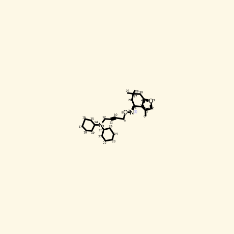 Cc1coc2c1/C(=N/OCC#CCN(C1CCCCC1)C1CCCCC1)CC(C)(C)C2